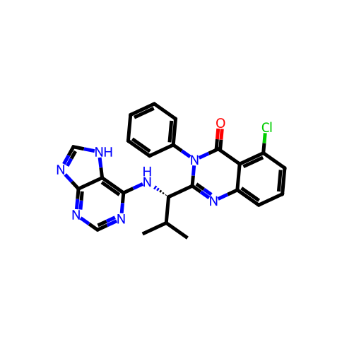 CC(C)[C@H](Nc1ncnc2nc[nH]c12)c1nc2cccc(Cl)c2c(=O)n1-c1ccccc1